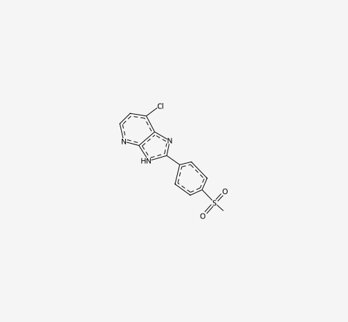 CS(=O)(=O)c1ccc(-c2nc3c(Cl)ccnc3[nH]2)cc1